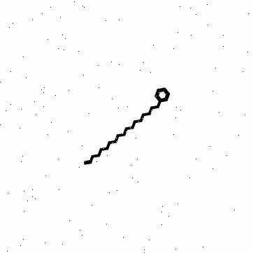 C=CCCCCCCCCCCCCCCCCc1ccccc1